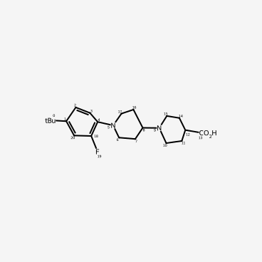 CC(C)(C)c1ccc(N2CCC(N3CCC(C(=O)O)CC3)CC2)c(F)c1